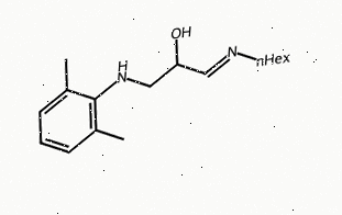 CCCCCCN=CC(O)CNc1c(C)cccc1C